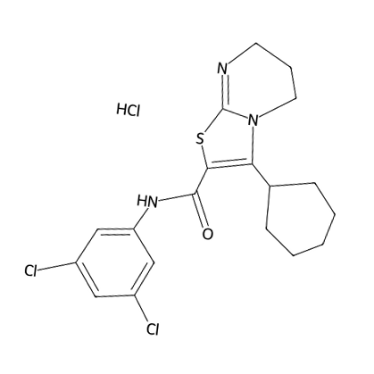 Cl.O=C(Nc1cc(Cl)cc(Cl)c1)C1=C(C2CCCCC2)N2CCCN=C2S1